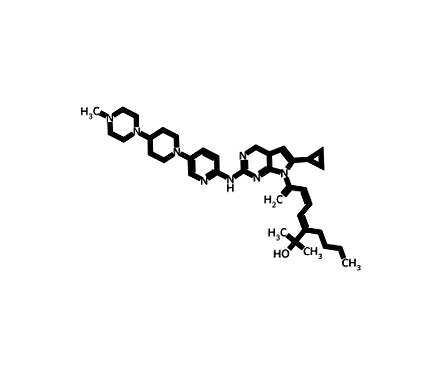 C=C(/C=C\C=C(/CCCC)C(C)(C)O)N1C(C2CC2)=CC2CN=C(Nc3ccc(N4CCC(N5CCN(C)CC5)CC4)cn3)N=C21